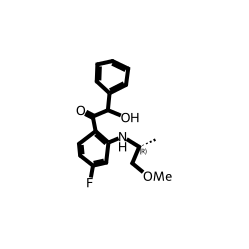 COC[C@@H](C)Nc1cc(F)ccc1C(=O)C(O)c1ccccc1